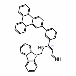 N=C/C=C(\NCn1c2ccccc2c2ccccc21)c1cccc(-c2ccc3c4ccccc4c4ccccc4c3c2)c1